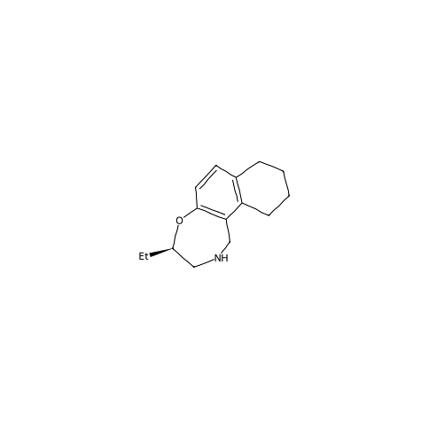 CC[C@@H]1CNCc2c(ccc3c2CCCC3)O1